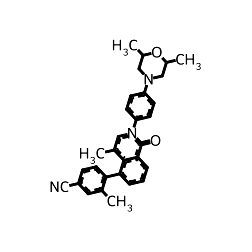 Cc1cc(C#N)ccc1-c1cccc2c(=O)n(-c3ccc(N4CC(C)OC(C)C4)cc3)cc(C)c12